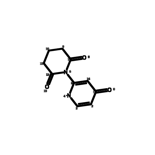 O=C1C=C[N]C(N2C(=O)CCCC2=O)=C1